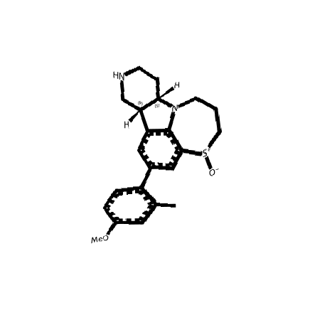 COc1ccc(-c2cc3c4c(c2)[S+]([O-])CCCN4[C@H]2CCNC[C@@H]32)c(C)c1